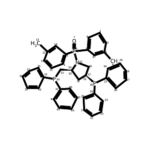 Cc1cccc(P(=O)(c2cccc(C)c2)N2C[C@@H](P(c3ccccc3)c3ccccc3)C[C@H]2CP(c2ccccc2)c2ccccc2)c1